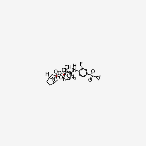 Cc1c(Nc2ccc(S(=O)(=O)C3CC3)cc2F)ncnc1OC1CC2CC[C@@H](C1)N2C(=O)OC(C)C